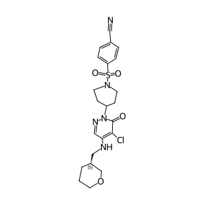 N#Cc1ccc(S(=O)(=O)N2CCC(n3ncc(NC[C@@H]4CCCOC4)c(Cl)c3=O)CC2)cc1